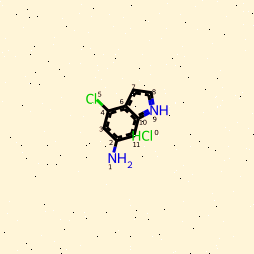 Cl.Nc1cc(Cl)c2cc[nH]c2c1